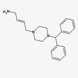 NC/C=C/CN1CCN(C(c2ccccc2)c2ccccc2)CC1